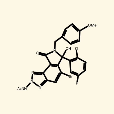 COc1ccc(CN2C(=O)c3c(c(Br)cc4nn(NC(C)=O)nc34)C2(O)c2cc(F)ccc2Cl)cc1